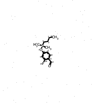 CCCC[Si](C)(C)Oc1ccc(C=O)c(F)c1